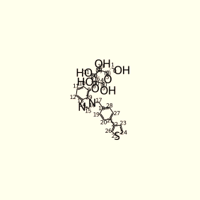 OC[C@@H]1O[C@@H](O)[C@](O)(Oc2cccc3ncn(Cc4ccc(-c5ccsc5)cc4)c23)[C@H](O)[C@H]1O